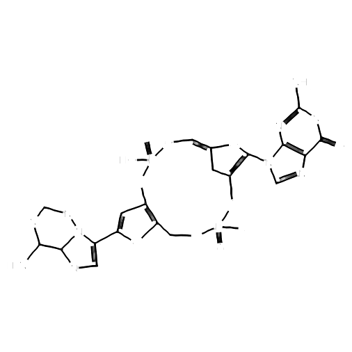 Nc1nc2c(ncn2C2=C3C/C(=C\OP(=O)(O)Oc4cc(C5=CNC6C(N)NCNN56)oc4COP(=O)(S)O3)O2)c(=O)[nH]1